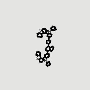 c1ccc(-n2c3ccc(-c4ccc(-c5ccc(-c6ccc7c(c6)c6c8c(ccc6n7-c6ccccc6)sc6ccccc68)c6ccccc56)cc4)cc3c3c4c(ccc32)sc2ccccc24)cc1